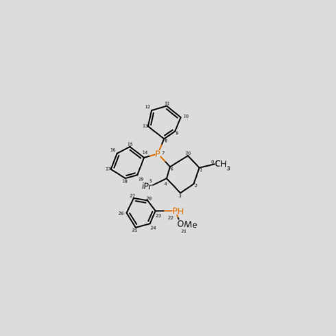 CC1CCC(C(C)C)C(P(c2ccccc2)c2ccccc2)C1.COPc1ccccc1